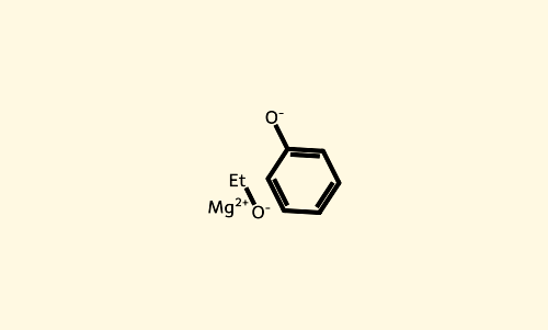 CC[O-].[Mg+2].[O-]c1ccccc1